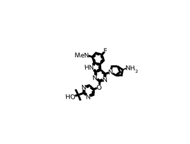 CNc1cc(F)cc2c1[nH]c1nc(Oc3cnc(C(C)(C)O)nc3)nc(N3CC4CC3C[C@@H]4N)c12